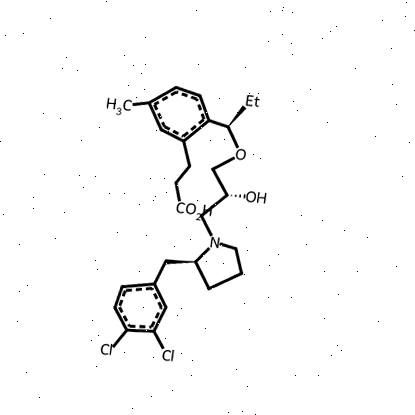 CC[C@@H](OC[C@H](O)CN1CCC[C@H]1Cc1ccc(Cl)c(Cl)c1)c1ccc(C)cc1CCC(=O)O